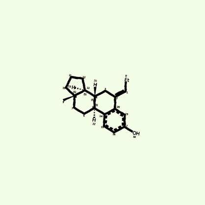 CCC=C1C[C@@H]2[C@H](CC[C@]3(C)CCC[C@@H]23)c2ccc(O)cc21